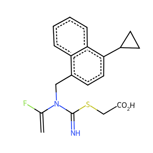 C=C(F)N(Cc1ccc(C2CC2)c2ccccc12)C(=N)SCC(=O)O